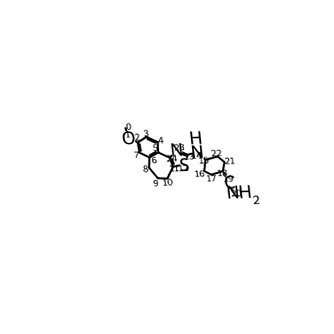 COc1ccc2c(c1)CCCc1sc(N[C@H]3CC[C@H](CN)CC3)nc1-2